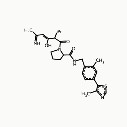 CC(=N)/C=C(\O)C(C(=O)N1CCCC1C(=O)NCc1ccc(-c2scnc2C)cc1C)C(C)C